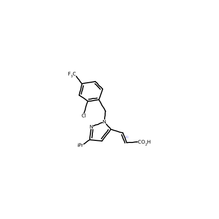 CC(C)c1cc(/C=C/C(=O)O)n(Cc2ccc(C(F)(F)F)cc2Cl)n1